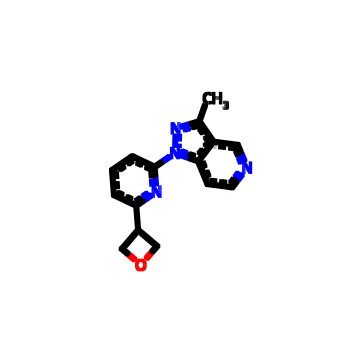 Cc1nn(-c2cccc(C3COC3)n2)c2ccncc12